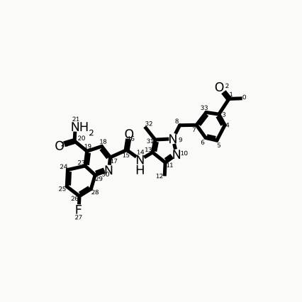 CC(=O)c1cccc(Cn2nc(C)c(NC(=O)c3cc(C(N)=O)c4ccc(F)cc4n3)c2C)c1